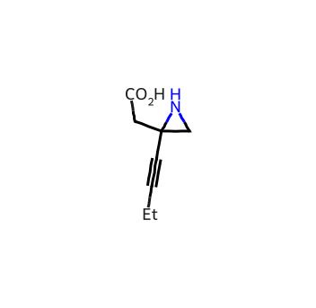 CCC#CC1(CC(=O)O)CN1